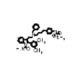 Cc1cc(C)cc(-c2c(CCN(CCCCc3ccc(NS(C)(=O)=O)cc3)Cc3ccccc3)c3c[c]ccc3n2C(N)=O)c1